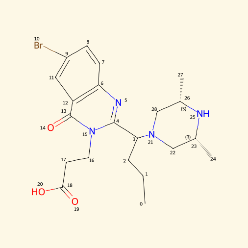 CCCC(c1nc2ccc(Br)cc2c(=O)n1CCC(=O)O)N1C[C@@H](C)N[C@@H](C)C1